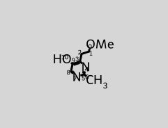 COCCc1nc(C)ncc1O